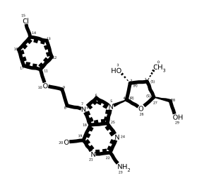 C[C@H]1[C@@H](O)[C@H](n2c[n+](CCOc3ccc(Cl)cc3)c3c([O-])nc(N)nc32)O[C@@H]1CO